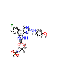 COc1ccc(CNc2nccc(-c3[nH]c(C4OCC(C)(CNS(C)(=O)=O)CO4)nc3-c3ccc(F)cc3)n2)cc1